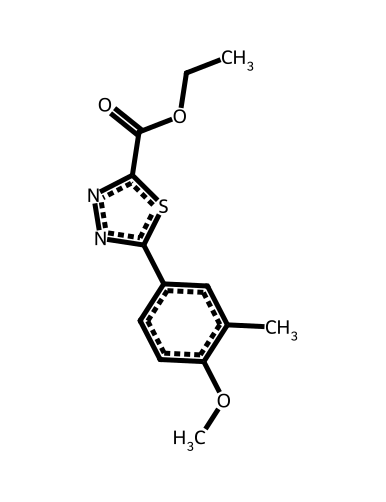 CCOC(=O)c1nnc(-c2ccc(OC)c(C)c2)s1